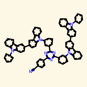 N#Cc1ccc(-c2nc(-c3cccc(-n4c5ccccc5c5cc(-c6ccc7c(c6)c6ccccc6n7-c6ccccc6)ccc54)c3)nc(-c3cccc(-n4c5ccccc5c5cc(-c6ccc7c(c6)c6ccccc6n7-c6ccccc6)ccc54)c3)n2)cc1